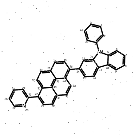 c1ccc(-n2c3ccccc3c3ccc(-c4ccc5ccc6c(-c7ccccn7)ccc7ccc4c5c76)cc32)cc1